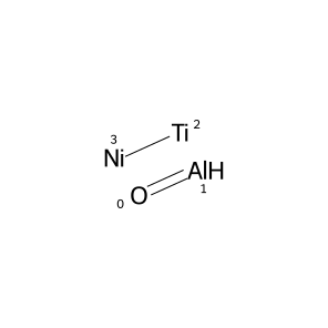 [O]=[AlH].[Ti][Ni]